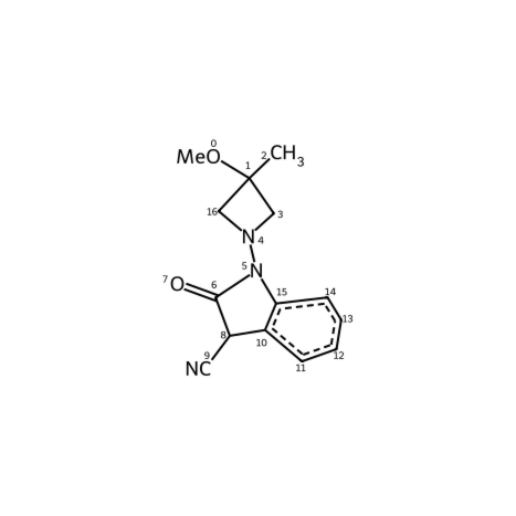 COC1(C)CN(N2C(=O)C(C#N)c3ccccc32)C1